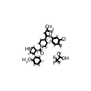 Cc1cc(C2CCN(C(=O)[C@@H]3CNC[C@H]3c3ccccc3C)CC2)n(-c2ccc(F)c(Cl)c2)n1.O=C(O)C(F)(F)F